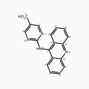 O=C(O)c1cnc(Nc2c3ccccc3nc3ccccc23)nc1